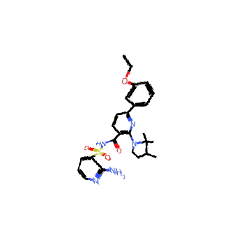 CCOc1cccc(-c2ccc(C(=O)NS(=O)(=O)c3cccnc3N)c(N3CCC(C)C3(C)C)n2)c1